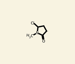 CN1C(=O)[CH]CC1Cl